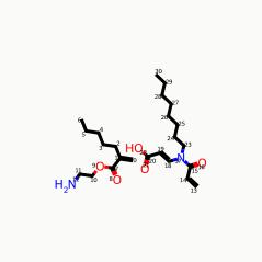 C=C(CCCCC)C(=O)OCCN.C=CC(=O)N(C=CC(=O)O)CCCCCCCC